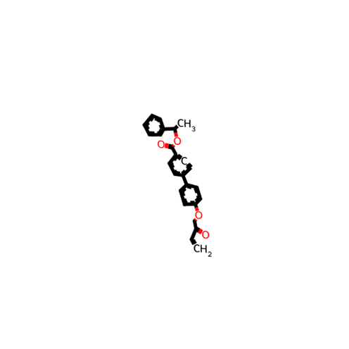 C=CC(=O)COc1ccc(-c2ccc(C(=O)OC(C)c3ccccc3)cc2)cc1